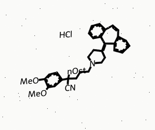 CCCCCCCCC(C#N)(CCCN1CCC(=C2c3ccccc3C=Cc3ccccc32)CC1)c1ccc(OC)c(OC)c1.Cl